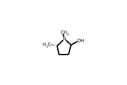 C[C@H]1CCC(O)N1C